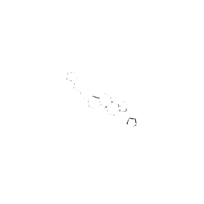 C[C@]12CC[C@H]3[C@@H](CCC4=C[C@@H](OCCN5CCCC5)CC[C@@]43C)[C@@H]1CC[C@@H]2c1ccoc1